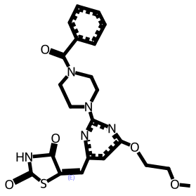 COCCOc1cc(/C=C2/SC(=O)NC2=O)nc(N2CCN(C(=O)c3ccccc3)CC2)n1